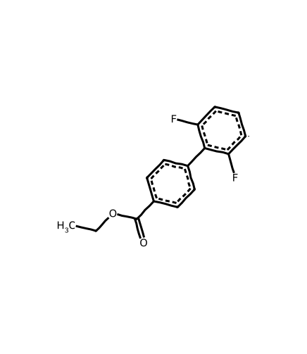 CCOC(=O)c1ccc(-c2c(F)[c]ccc2F)cc1